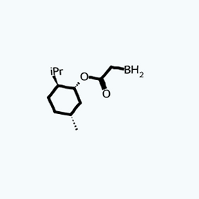 BCC(=O)O[C@@H]1C[C@H](C)CC[C@H]1C(C)C